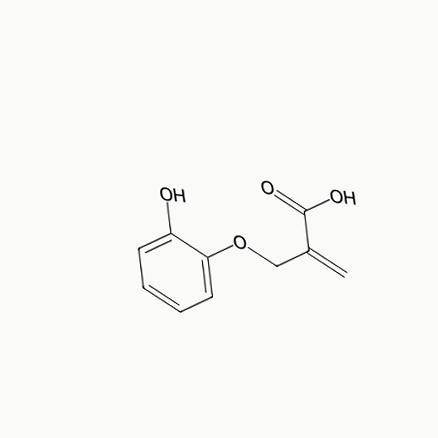 C=C(COc1ccccc1O)C(=O)O